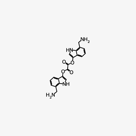 NCc1cccc2c(OC(=O)C(=O)Oc3c[nH]c4c(CN)cccc34)c[nH]c12